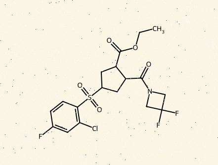 CCOC(=O)C1CC(S(=O)(=O)c2ccc(F)cc2Cl)CC1C(=O)N1CC(F)(F)C1